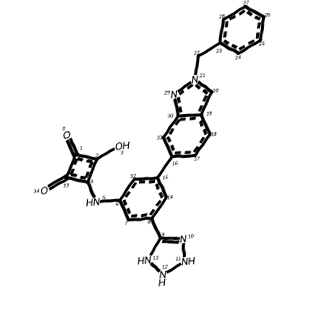 O=c1c(O)c(Nc2cc(C3=NNNN3)cc(-c3ccc4cn(Cc5ccccc5)nc4c3)c2)c1=O